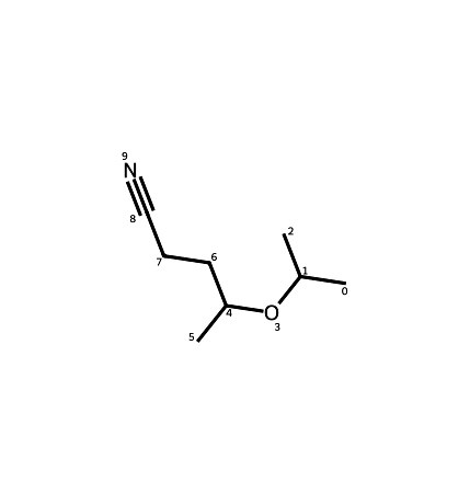 CC(C)OC(C)CCC#N